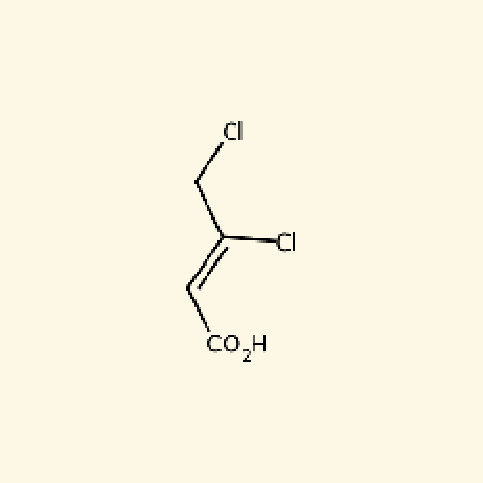 O=C(O)C=C(Cl)CCl